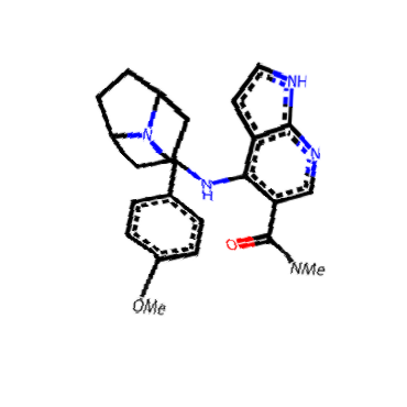 CNC(=O)c1cnc2[nH]ccc2c1NC1CC2CCC(C1)N2Cc1ccc(OC)cc1